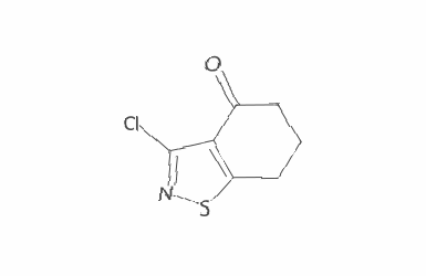 O=C1CCCc2snc(Cl)c21